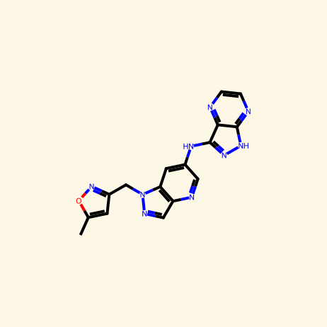 Cc1cc(Cn2ncc3ncc(Nc4n[nH]c5nccnc45)cc32)no1